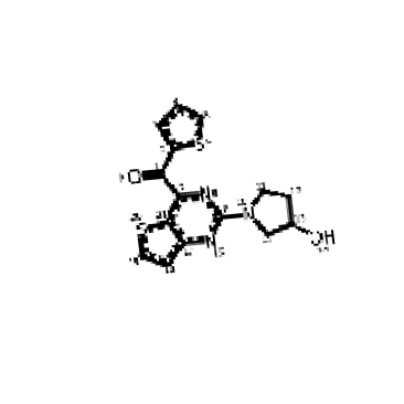 O=C(c1cccs1)c1nc(N2CC[C@@H](O)C2)nc2ccsc12